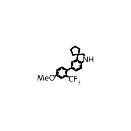 COc1ccc(-c2ccc3c(c2)C2(CCCC2)CN3)c(C(F)(F)F)c1